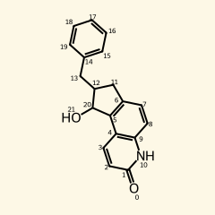 O=c1ccc2c3c(ccc2[nH]1)CC(Cc1ccccc1)C3O